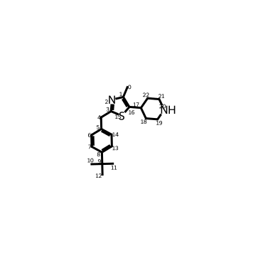 Cc1nc(Cc2ccc(C(C)(C)C)cc2)sc1C1CCNCC1